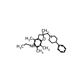 CCNc1c(C)c(C)c2c(c1C)CC(C)(CN1CCC(c3ccccc3)CC1)O2